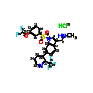 CNCc1cn(S(=O)(=O)c2cccc(OC(F)F)c2)c2cc(-c3cccnc3C(F)(F)F)ccc12.Cl